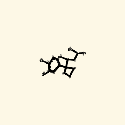 CCCC(CC)CC(O)C1(c2ccc(Cl)c(Cl)c2)CCC1